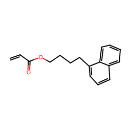 C=CC(=O)OCCCCc1cccc2ccccc12